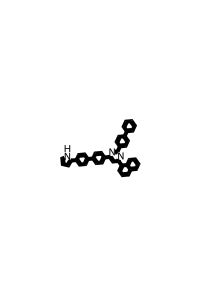 c1ccc(-c2ccc(-c3nc(-c4ccc(-c5ccc(-c6ccc[nH]6)cc5)cc4)cc(-c4cccc5ccccc45)n3)cc2)cc1